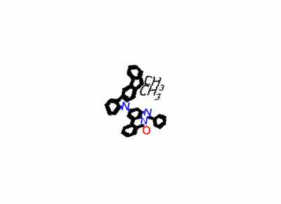 CC1(C)c2ccccc2-c2cc3c4ccccc4n(-c4cc5nc(-c6ccccc6)n6c(=O)c7ccccc7c(c4)c56)c3cc21